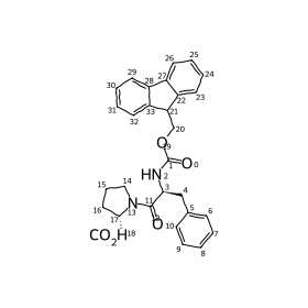 O=C(N[C@@H](Cc1ccccc1)C(=O)N1CCC[C@H]1C(=O)O)OCC1c2ccccc2-c2ccccc21